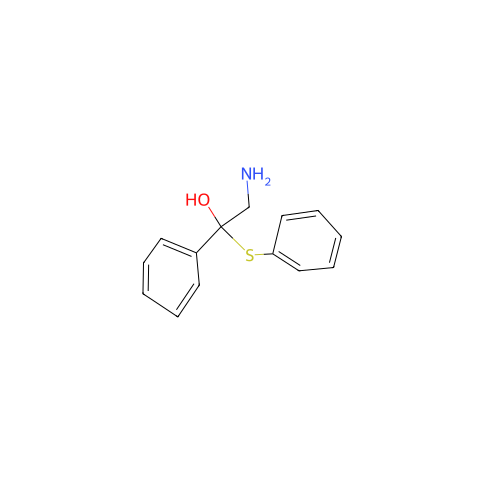 NCC(O)(Sc1ccccc1)c1ccccc1